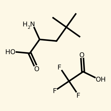 CC(C)(C)CC(N)C(=O)O.O=C(O)C(F)(F)F